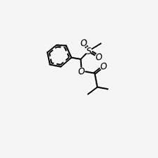 CC(C)C(=O)OC(c1ccccc1)S(C)(=O)=O